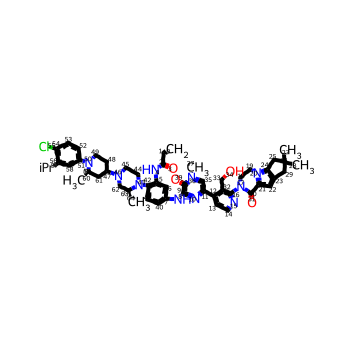 C=CC(=O)Nc1cc(Nc2nc(-c3ccnc(N4CCn5c(cc6c5CC(C)(C)C6)C4=O)c3CO)cn(C)c2=O)ccc1N1CCN(C2CCN(c3ccc(Cl)c(C(C)C)c3)[C@H](C)C2)C[C@@H]1C